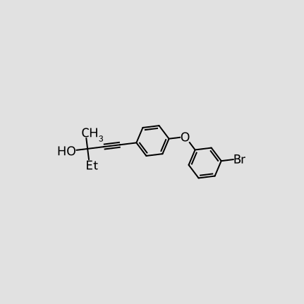 CCC(C)(O)C#Cc1ccc(Oc2cccc(Br)c2)cc1